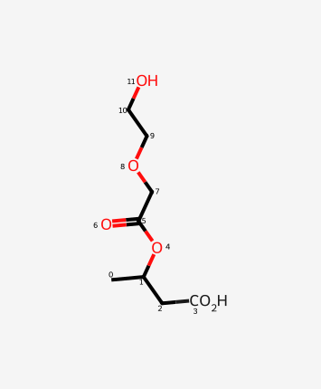 CC(CC(=O)O)OC(=O)COCCO